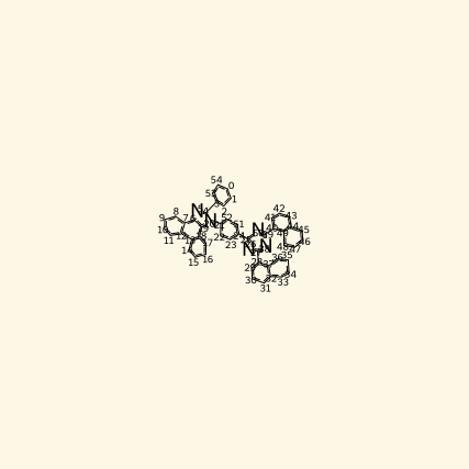 c1ccc(-c2nc3c4ccccc4c4ccccc4c3n2-c2ccc(-c3nc(-c4cccc5ccccc45)nc(-c4cccc5ccccc45)n3)cc2)cc1